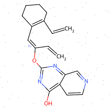 C=CC1=C(/C=C(\C=C)Oc2nc(O)c3ccncc3n2)CCCC1